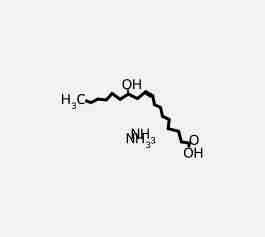 CCCCCC[C@@H](O)C/C=C\CCCCCCCC(=O)O.N.N